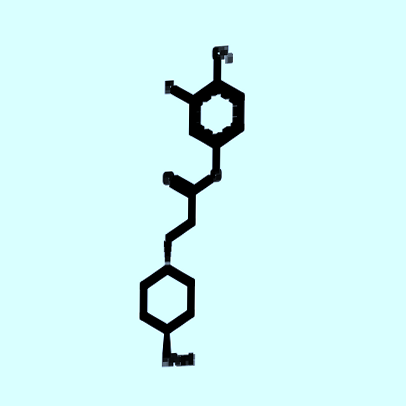 CCCCC[C@H]1CC[C@H](CCC(=O)Oc2ccc(C(F)(F)F)c(F)c2)CC1